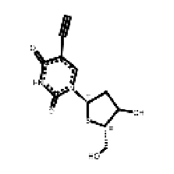 C#Cc1cn([C@H]2CC(O)[C@H](CO)S2)c(=O)[nH]c1=O